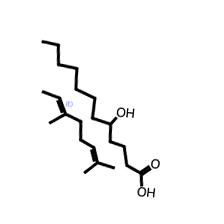 C/C=C(\C)CCC=C(C)C.CCCCCCCC(O)CCCC(=O)O